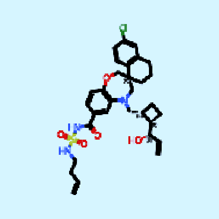 C=CCCNS(=O)(=O)NC(=O)c1ccc2c(c1)N(C[C@@H]1CC[C@H]1[C@@H](O)C=C)C[C@@]1(CCCc3cc(Cl)ccc31)CO2